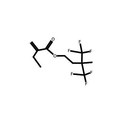 C=C(CC)C(=O)OCCC(C)(C(F)(F)F)C(F)(F)F